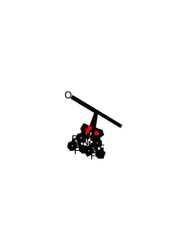 CC1(C)CC(C)(C)c2ccc3c(c2)oc2c4c(ccc23)B(c2c(F)cccc2F)c2ccc3ccc5c6c3c2N4C(=O)N6c2c(ccc3c2oc2cc1ccc23)B5c1c(F)cccc1F